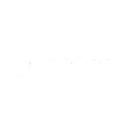 CCCCCCCCCCCCCCCCCCCCC(=O)OC(C)(C)C